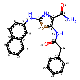 NC(=O)c1nc(Nc2ccc3ccccc3c2)sc1NC(=O)Cc1ccccc1